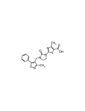 Cc1nc(N2CCN(Cc3c(C)noc3-c3ccccc3)C2=O)sc1C(=O)O